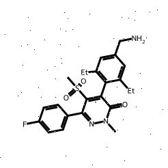 CCc1cc(CN)cc(CC)c1-c1c(S(C)(=O)=O)c(-c2ccc(F)cc2)nn(C)c1=O